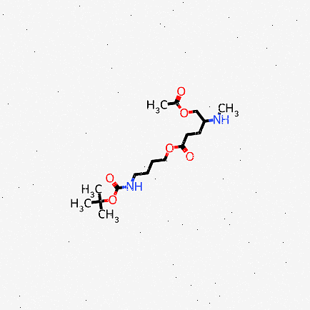 CNC(CCC(=O)OCCCCNC(=O)OC(C)(C)C)COC(C)=O